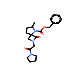 CC1CCC2(CN(CC(=O)N3CCCC3)C2=O)N1C(=O)OCc1ccccc1